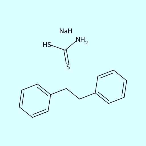 NC(=S)S.[NaH].c1ccc(CCc2ccccc2)cc1